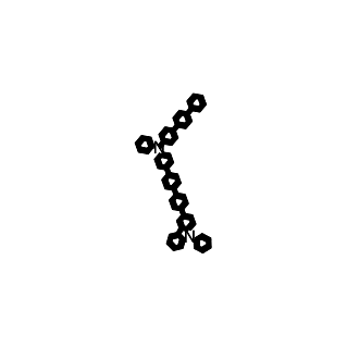 c1ccc(-c2ccc(-c3ccc(N(c4ccccc4)c4ccc(-c5ccc(-c6ccc(-c7ccc8c(c7)c7ccccc7n8-c7ccccc7)cc6)cc5)cc4)cc3)cc2)cc1